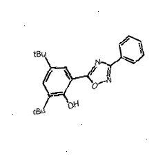 CC(C)(C)c1cc(-c2nc(-c3ccccc3)no2)c(O)c(C(C)(C)C)c1